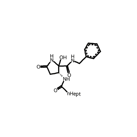 CCCCCCCC(=O)N[C@@H]1CC(=O)NC1(O)C(=O)NCc1ccccc1